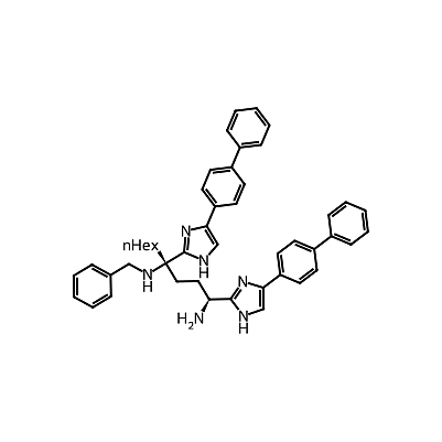 CCCCCC[C@@](CC[C@H](N)c1nc(-c2ccc(-c3ccccc3)cc2)c[nH]1)(NCc1ccccc1)c1nc(-c2ccc(-c3ccccc3)cc2)c[nH]1